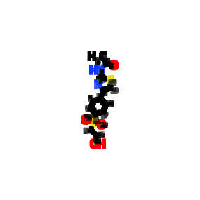 CC(=O)Nc1nc(-c2ccc(S(=O)(=O)CCO)cc2)cs1